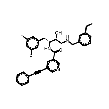 CCc1cccc(CNC[C@H](O)[C@@H](Cc2cc(F)cc(F)c2)NC(=O)c2cncc(C#Cc3ccccc3)c2)c1